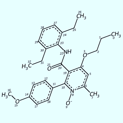 CCCOc1cc(C)[n+]([O-])c(-c2ccc(OC)cc2)c1C(=O)Nc1c(CC)cccc1CC